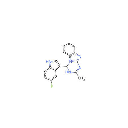 CC1=Nc2nc3ccccc3n2C(c2c[nH]c3ccc(F)cc23)N1